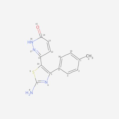 Cc1ccc(-c2nc(N)sc2-c2ccc(=O)[nH]n2)cc1